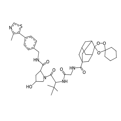 Cc1ncsc1-c1ccc(CNC(=O)C2CC(O)CN2C(=O)C(NC(=O)CNC(=O)C23CC4CC(C2)C2(OOC5(CCCCC5)O2)C(C4)C3)C(C)(C)C)cc1